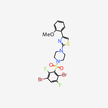 COc1ccccc1-c1csc(N2CCN(S(=O)(=O)c3c(F)c(Br)cc(F)c3Br)CC2)n1